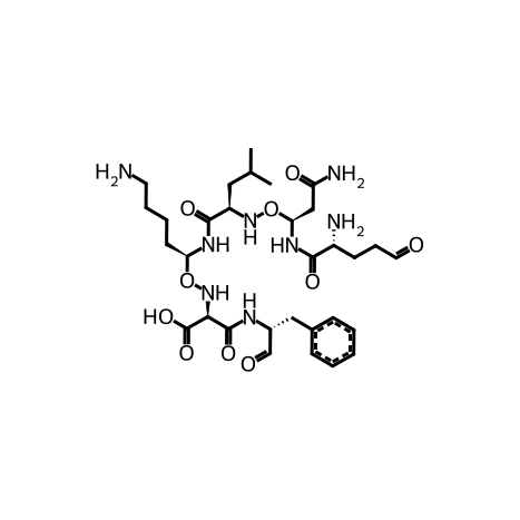 CC(C)C[C@@H](NO[C@@H](CC(N)=O)NC(=O)[C@H](N)CCC=O)C(=O)N[C@H](CCCCN)ON[C@H](C(=O)O)C(=O)N[C@@H](C=O)Cc1ccccc1